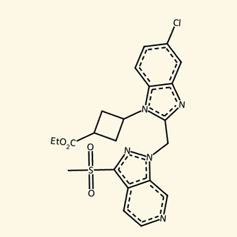 CCOC(=O)C1CC(n2c(Cn3nc(S(C)(=O)=O)c4ccncc43)nc3cc(Cl)ccc32)C1